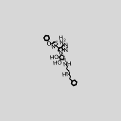 Nc1ncnc2c1c(-c1nc(Oc3ccccc3)cs1)cn2[C@@H]1C[C@H](CNCCCNCCc2ccccc2)[C@@H](O)[C@H]1O